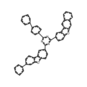 c1ccc(-c2ccc(-c3nc(-c4ccc5oc6cc(-c7ccccc7)ccc6c5c4)nc(-c4ccc5oc6cc7ccccc7cc6c5c4)n3)cc2)cc1